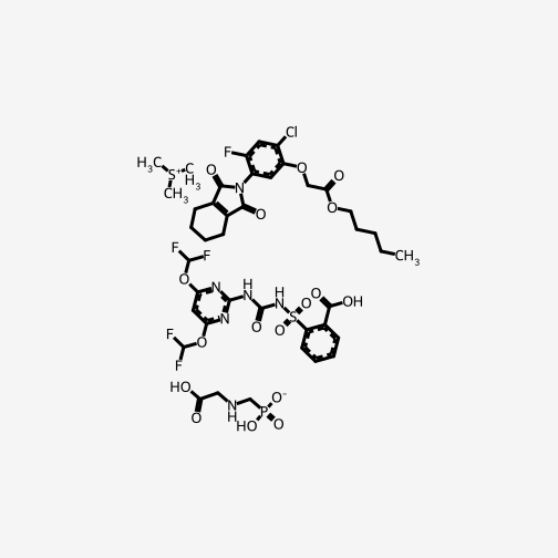 CCCCCOC(=O)COc1cc(N2C(=O)C3=C(CCCC3)C2=O)c(F)cc1Cl.C[S+](C)C.O=C(Nc1nc(OC(F)F)cc(OC(F)F)n1)NS(=O)(=O)c1ccccc1C(=O)O.O=C(O)CNCP(=O)([O-])O